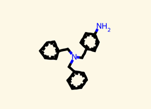 Nc1ccc(CN(Cc2ccccc2)Cc2ccccc2)cc1